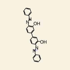 Oc1cc(-c2ccc(/N=N/c3ccccc3)c(O)c2)ccc1N=Nc1ccccc1